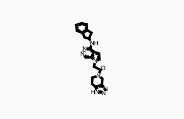 O=C(Cn1ccc2c(NC3Cc4ccccc4C3)nncc21)N1CCc2[nH]nnc2C1